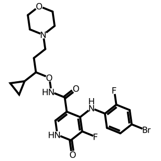 O=C(NOC(CCN1CCOCC1)C1CC1)c1c[nH]c(=O)c(F)c1Nc1ccc(Br)cc1F